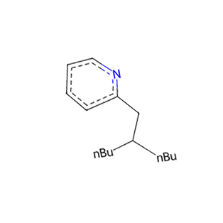 CCCCC(CCCC)Cc1ccccn1